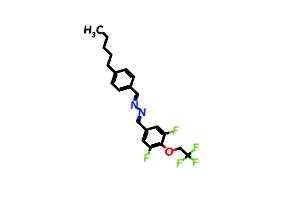 CCCCCc1ccc(C=NN=Cc2cc(F)c(OCC(F)(F)F)c(F)c2)cc1